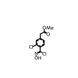 COC(=O)Cc1ccc(C(Cl)=NO)c(Cl)c1